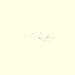 CC(C)(CO)c1ccc(C(=O)Nc2nc3ccc(Br)nc3s2)cc1